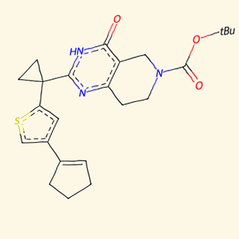 CC(C)(C)OC(=O)N1CCc2nc(C3(c4cc(C5=CCCC5)cs4)CC3)[nH]c(=O)c2C1